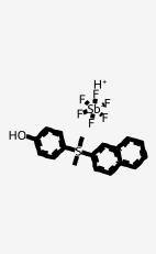 CS(C)(c1ccc(O)cc1)c1ccc2ccccc2c1.[F][Sb-]([F])([F])([F])([F])[F].[H+]